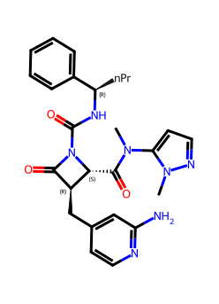 CCC[C@@H](NC(=O)N1C(=O)[C@H](Cc2ccnc(N)c2)[C@H]1C(=O)N(C)c1ccnn1C)c1ccccc1